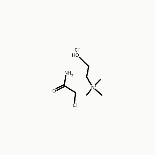 C[N+](C)(C)CCO.NC(=O)CCl.[Cl-]